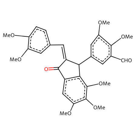 COc1ccc(/C=C2\C(=O)c3cc(OC)c(OC)c(OC)c3C2c2cc(C=O)c(OC)c(OC)c2)cc1OC